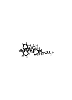 CCCCc1cccc(CC(N)(c2cccc(NCC(=O)O)n2)S(=O)(=O)c2ccccn2)c1